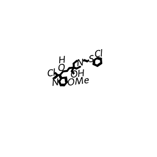 COc1ccc2ncc(Cl)c([C@H](O)CCC3(CO)CCN(CCSc4ccccc4Cl)CC3)c2c1